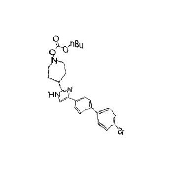 CCCCOC(=O)ON1CCC(c2nc(-c3ccc(-c4ccc(Br)cc4)cc3)c[nH]2)CC1